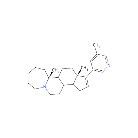 Cc1cncc(C2=CCC3C4CCN5CCCCC[C@]5(C)C4CC[C@]23C)c1